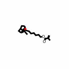 C=C(C)C(=O)OCCCCCCC1(C)C=C2CC3CC(CC23)C1